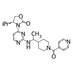 CC(Nc1nccc(N2C(=O)OC[C@@H]2C(C)C)n1)C1CCN(C(=O)c2ccncc2)CC1